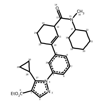 CCOC(=O)c1cnn(-c2cccc(C3=CC(C(=O)N(C)C4CCCCC4)CCC3)c2)c1C1CC1